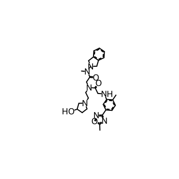 Cc1nc(-c2ccc(C)c(NCC(=O)N(CCN3CCC(O)C3)CC(=O)N(C)N3Cc4ccccc4C3)c2)no1